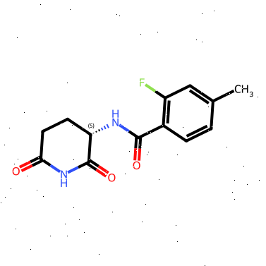 Cc1ccc(C(=O)N[C@H]2CCC(=O)NC2=O)c(F)c1